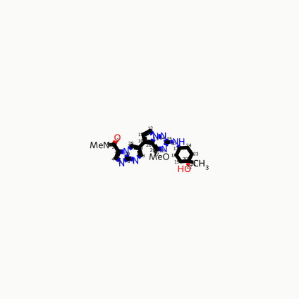 CNC(=O)c1cnc2ncc(-c3ccn4nc(NC5CCC(C)(O)CC5)nc(OC)c34)cn12